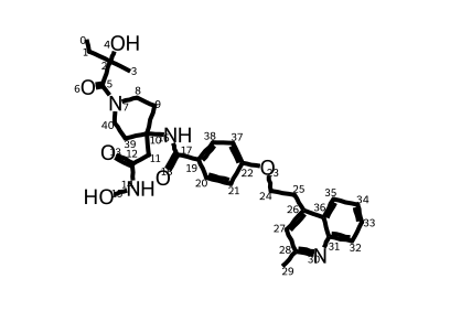 CCC(C)(O)C(=O)N1CCC(CC(=O)NO)(NC(=O)c2ccc(OCCc3cc(C)nc4ccccc34)cc2)CC1